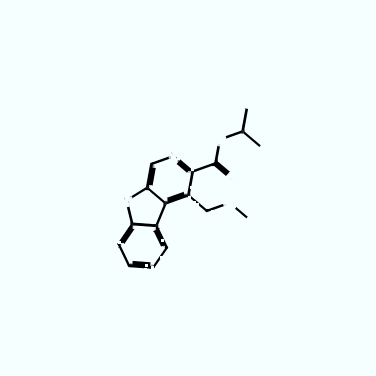 COCc1c(C(=O)OC(C)C)ncc2[nH]c3ccccc3c12